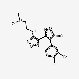 C[S+]([O-])CCNc1nonc1-c1noc(=O)n1-c1ccc(F)c(Br)c1